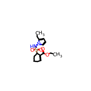 CCOC(=O)C1=CCCCC1S(=O)(=O)Nn1cccc1CC